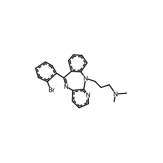 CN(C)CCCN1c2ccccc2C(c2ccccc2Br)=Nc2cccnc21